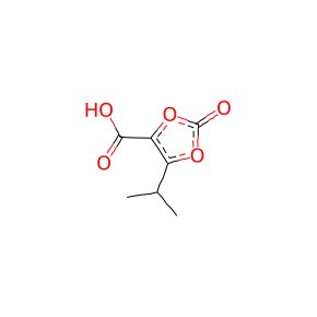 CC(C)c1oc(=O)oc1C(=O)O